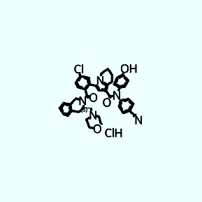 Cl.N#Cc1ccc(N(C(=O)c2cc(-c3cc(Cl)ccc3C(=O)N3Cc4ccccc4C[C@H]3CN3CCOCC3)n3c2CCCC3)c2ccc(O)cc2)cc1